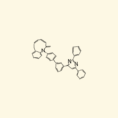 C=C1/C=C\C=C/Cc2ccccc2N1c1ccc(-c2cccc(-c3cc(-c4ccccc4)nc(-c4ccccc4)n3)c2)cc1